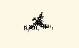 Cn1cc2cc(-n3nc4c(c(CC5CC5)cn4COCC[Si](C)(C)C)c(-c4ccc(OC(F)F)cc4)c3=O)ccc2n1